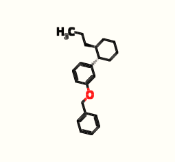 CCC[C@H]1CCCC[C@@H]1c1cccc(OCc2ccccc2)c1